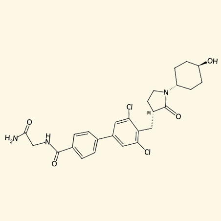 NC(=O)CNC(=O)c1ccc(-c2cc(Cl)c(C[C@@H]3CCN([C@H]4CC[C@H](O)CC4)C3=O)c(Cl)c2)cc1